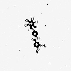 CCOc1ccc(C(=O)Nc2ccc(N3C(=O)c4c(Cl)c(Cl)c(Cl)c(Cl)c4C3=O)cc2)cc1N